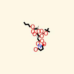 CCCCOC(=O)[C@H](C)OC(=O)[C@H](CC(=O)ON1C(=O)CCC1=O)OC(=O)OC(C)(C)C